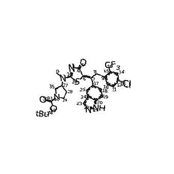 CN(C1=NC(=O)C(=C(Cc2ccc(Cl)cc2C(F)(F)F)c2ccc3[nH]ncc3c2)S1)C1CCN(C(=O)OC(C)(C)C)C1